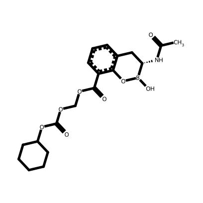 CC(=O)N[C@H]1Cc2cccc(C(=O)OCOC(=O)OC3CCCCC3)c2OB1O